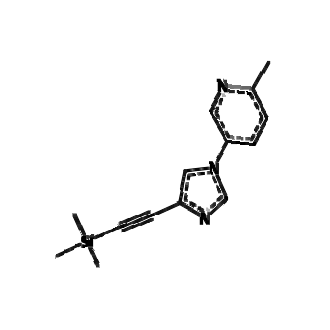 Cc1ccc(-n2cnc(C#C[Si](C)(C)C)c2)cn1